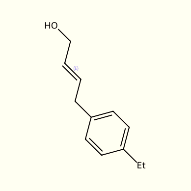 CCc1ccc(C/C=C/CO)cc1